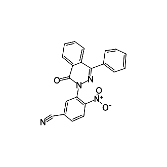 N#Cc1ccc([N+](=O)[O-])c(-n2nc(-c3ccccc3)c3ccccc3c2=O)c1